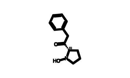 O=C(Cc1ccccc1)[C@@H]1CCCN1O